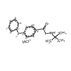 CC(C)(C)NCC(=O)c1ccc(Sc2ccccc2)cc1.Cl